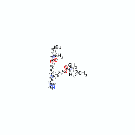 CC(C)=CCC/C(C)=C/C(=O)OCCCCCCN(CCCCCCOC(=O)/C=C(\C)CCCC(C)(C)C)CCCn1c#cnc1